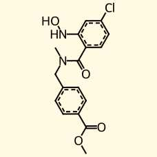 COC(=O)c1ccc(CN(C)C(=O)c2ccc(Cl)cc2NO)cc1